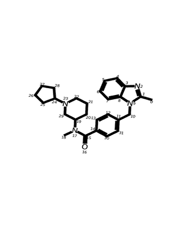 Cc1nc2ccccc2n1Cc1ccc(C(=O)N(C)C2CCCN(C3CCCC3)C2)cc1